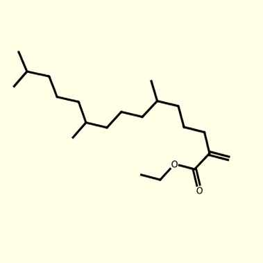 C=C(CCCC(C)CCCC(C)CCCC(C)C)C(=O)OCC